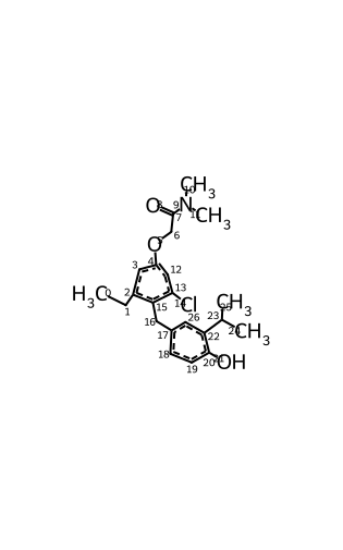 CCc1cc(OCC(=O)N(C)C)cc(Cl)c1Cc1ccc(O)c(C(C)C)c1